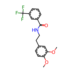 COc1ccc(CCNC(=O)c2cccc(C(F)(F)F)c2)cc1OC